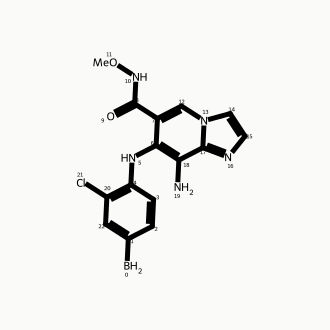 Bc1ccc(Nc2c(C(=O)NOC)cn3ccnc3c2N)c(Cl)c1